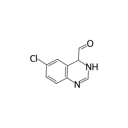 O=CC1NC=Nc2ccc(Cl)cc21